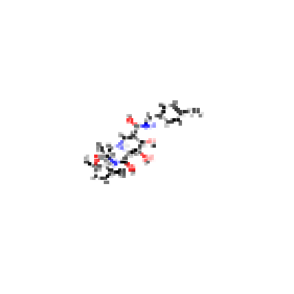 Cc1ccc(CNC(=O)c2cn3c(c(O)c2=O)C(=O)N2[C@@H]4CC[C@@H](C4)O[C@H]2C3)cc1